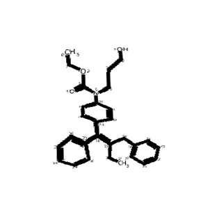 CCOC(=O)N(CCCO)c1ccc(C(=C(CC)Cc2ccccc2)c2ccccc2)cc1